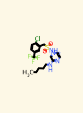 CCCCCNc1cnccn1.NS(=O)(=O)Cc1cc(C(F)(F)F)ccc1Cl